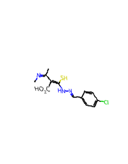 C/N=C(C)\C(C(=O)O)=C(/S)N/N=C/c1ccc(Cl)cc1